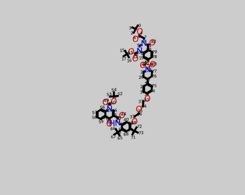 CC(C)(C)OC(=O)CN1CN(C(=O)OC(C)(C)C)c2cc(S(=O)(=O)N3CCC(c4ccc(OCCOCCOc5cc(NC(=O)c6cn(C(=O)OC(C)(C)C)c7ccccc7c6=O)c(C(C)(C)C)cc5C(C)(C)C)cc4)CC3)ccc2C1=O